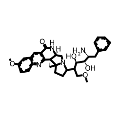 COCC(C1CCC23C[C@@]24c2nc5ccc(OC)cc5cc2C(=O)N[C@H]4CN13)[C@@H](O)[C@@H](O)[C@H](N)Cc1ccccc1